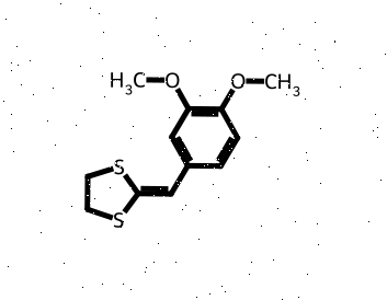 COc1ccc(C=C2SCCS2)cc1OC